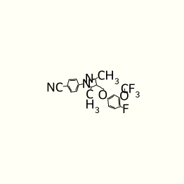 CC1=NN(c2ccc(C#N)cc2)C(C)C1COc1ccc(F)c(OC(F)(F)F)c1